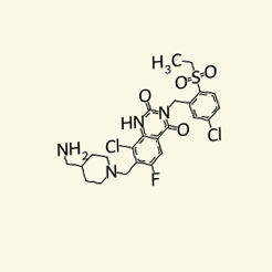 CCS(=O)(=O)c1ccc(Cl)cc1Cn1c(=O)[nH]c2c(Cl)c(CN3CCC(CN)CC3)c(F)cc2c1=O